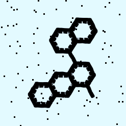 Cc1ccc(-c2cccc3ccccc23)c2cc3ccccc3cc12